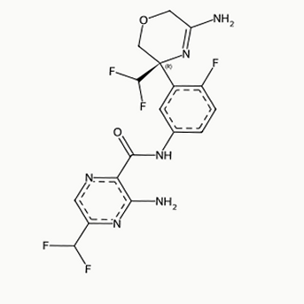 NC1=N[C@@](c2cc(NC(=O)c3ncc(C(F)F)nc3N)ccc2F)(C(F)F)COC1